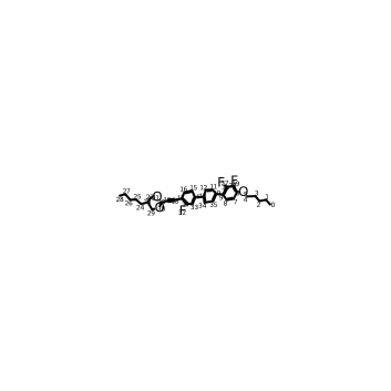 CCCCCOc1ccc(-c2ccc(-c3ccc(C#CC4OCC(CCCCC)CO4)c(F)c3)cc2)c(F)c1F